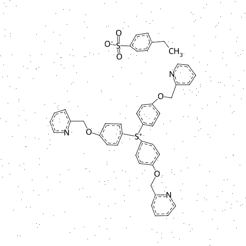 CCc1ccc(S(=O)(=O)[O-])cc1.c1ccc(COc2ccc([S+](c3ccc(OCc4ccccn4)cc3)c3ccc(OCc4ccccn4)cc3)cc2)nc1